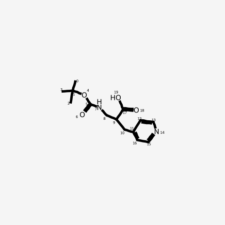 CC(C)(C)OC(=O)NCC(Cc1ccncc1)C(=O)O